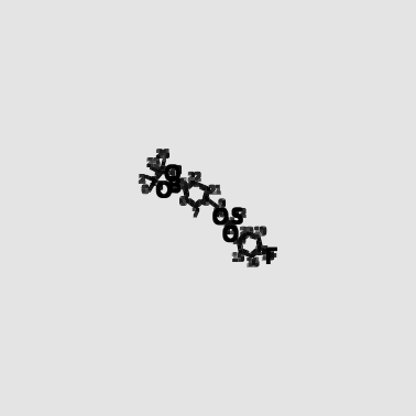 CC1(C)OB(c2ccc(COC(=S)Oc3ccc(F)cc3)cc2)OC1(C)C